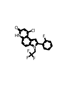 O=c1cc(Cl)c2c(ccc3c2cc(-c2ccccc2F)n3CC(F)(F)F)[nH]1